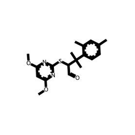 COc1cc(OC)nc(SC(C=O)C(C)(C)c2ccc(C)cc2C)n1